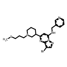 CSCCCN1CCCC(c2cc(NCc3cccnc3)n3ncc(Br)c3n2)C1